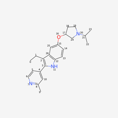 CCc1c(-c2ccnc(C)c2)[nH]c2ccc(OC3CCN(C(C)C)C3)cc12